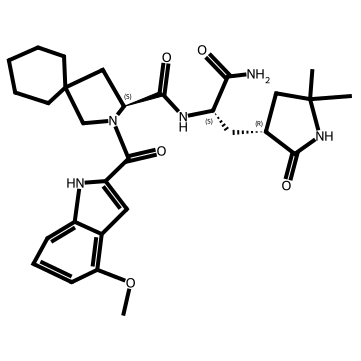 COc1cccc2[nH]c(C(=O)N3CC4(CCCCC4)C[C@H]3C(=O)N[C@@H](C[C@@H]3CC(C)(C)NC3=O)C(N)=O)cc12